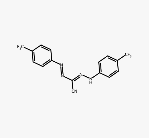 N#CC(N=Nc1ccc(C(F)(F)F)cc1)=NNc1ccc(C(F)(F)F)cc1